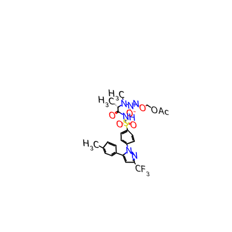 CC(=O)OCO/N=[N+](\[O-])N(C)[C@@H](C)C(=O)NS(=O)(=O)c1ccc(-n2nc(C(F)(F)F)cc2-c2ccc(C)cc2)cc1